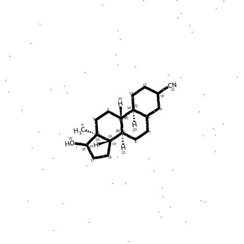 C[C@]12CC[C@H]3[C@@H](CCC4CC(C#N)CC[C@@H]43)[C@@H]1CCC2O